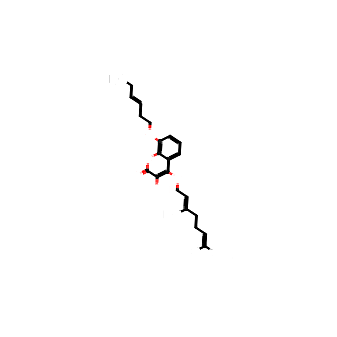 CC/C=C/CCOc1cccc2c(OC/C=C(\C)CCC=C(C)C)c(O)c(=O)oc12